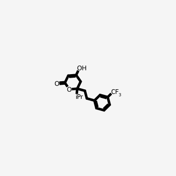 CC(C)C1(CCc2cccc(C(F)(F)F)c2)CC(O)=CC(=O)O1